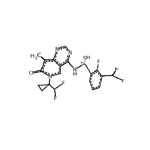 Cc1c(=O)n(C2(C(F)F)CC2)cc2c(N[C@H](O)c3cccc(C(F)F)c3F)ncnc12